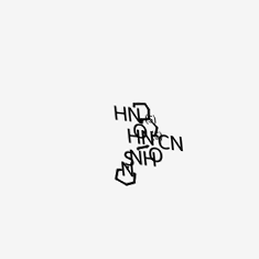 N#C[C@H](C[C@@H]1CCCNC1=O)NC(=O)CNSN1CCCCC1